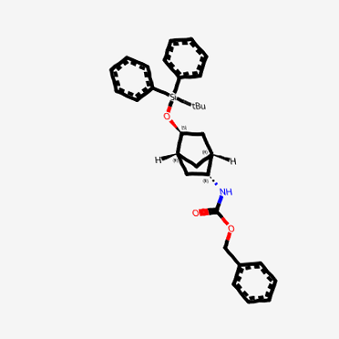 CC(C)(C)[Si](O[C@H]1C[C@H]2C[C@@H]1C[C@H]2NC(=O)OCc1ccccc1)(c1ccccc1)c1ccccc1